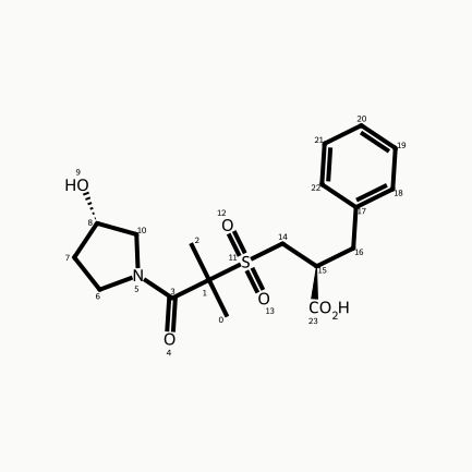 CC(C)(C(=O)N1CC[C@H](O)C1)S(=O)(=O)C[C@@H](Cc1ccccc1)C(=O)O